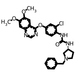 COc1cc2ncnc(Oc3ccc(NC(=O)N[C@@H]4CCN(Cc5ccccc5)C4)c(Cl)c3)c2cc1OC